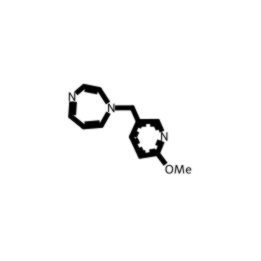 COc1ccc(CN2C=CC=NC=C2)cn1